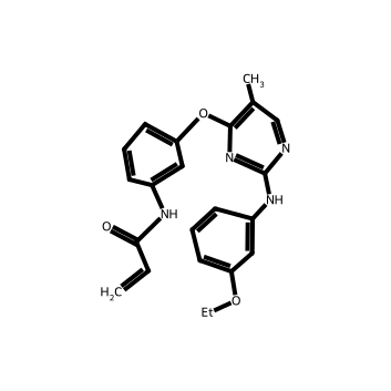 C=CC(=O)Nc1cccc(Oc2nc(Nc3cccc(OCC)c3)ncc2C)c1